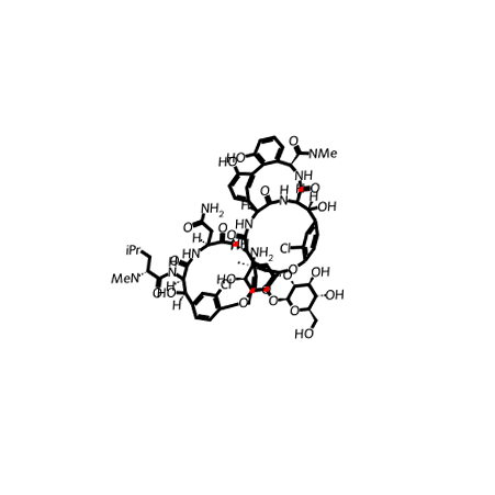 CNC(=O)[C@H]1NC(=O)[C@H]2NC(=O)[C@H](NC(=O)[C@@H]3NC(=O)[C@H](CC(N)=O)NC(=O)[C@H](NC(=O)[C@@H](CC(C)C)NC)[C@H](O)c4ccc(c(Cl)c4)Oc4cc3cc(c4O[C@@H]3O[C@H](CO)[C@@H](O)[C@H](O)[C@H]3O[C@H]3C[C@](C)(N)[C@H](O)[C@H](C)O3)Oc3ccc(cc3Cl)[C@H]2O)c2ccc(O)c(c2)-c2c(O)cccc21